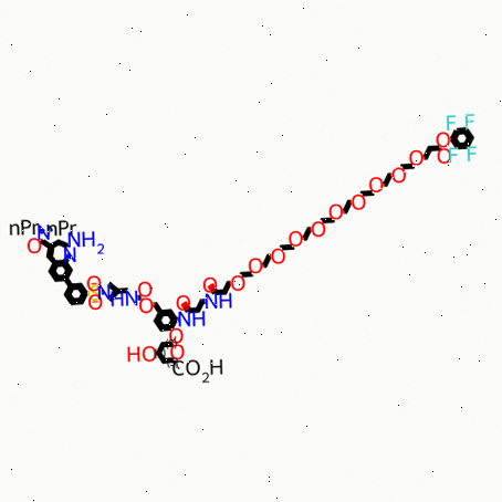 CCCN(CCC)C(=O)C1=Cc2ccc(-c3cccc(S(=O)(=O)N4CC(CNC(=O)OCc5ccc(O[C@H]6C[C@@H](O)C[C@@H](C(=O)O)O6)c(NC(=O)CCNC(=O)CCOCCOCCOCCOCCOCCOCCOCCOCCOCCOCCC(=O)Oc6c(F)c(F)cc(F)c6F)c5)C4)c3)cc2N=C(N)C1